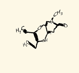 C=CC1=C(C=C)Oc2cn(C)c(=O)nc2N1